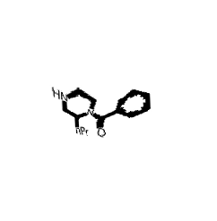 CCCC1CNCCN1C(=O)c1ccccc1